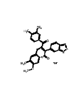 COc1ccc(CC(C(=O)c2ccc(C)c(C)c2)=C(C(=O)[O-])c2ccc3nsnc3c2)cc1C.[Na+]